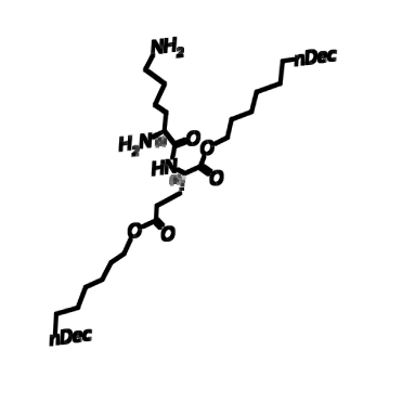 CCCCCCCCCCCCCCCCOC(=O)CC[C@H](NC(=O)[C@@H](N)CCCCN)C(=O)OCCCCCCCCCCCCCCCC